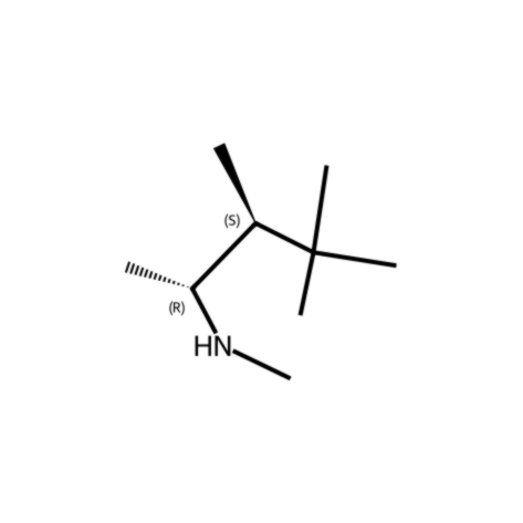 CN[C@H](C)[C@@H](C)C(C)(C)C